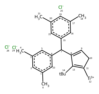 Cc1cc(C)cc(C(C2=CC[C]([Ti+3])=C2C(C)(C)C)c2cc(C)cc(C)c2)c1.[Cl-].[Cl-].[Cl-]